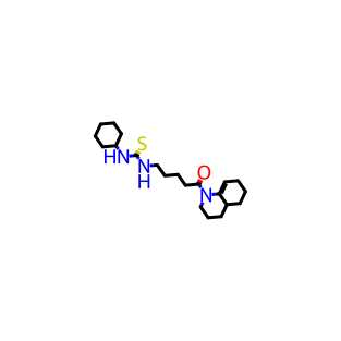 O=C(CCCCNC(=S)NC1CCCCC1)N1CCCC2CCCC=C21